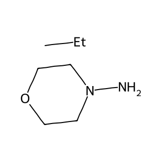 CCC.NN1CCOCC1